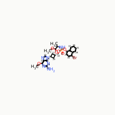 COC(=O)[C@H](C)NP(=O)(OC[C@H]1C[C@@H](n2cnc3c(OC)nc(N)nc32)C1)Oc1ccc(Br)c2ccccc12